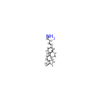 C=C1CCC2C3CCC4=C[C@@H](/C=C/CCN)CC[C@]4(C)C3CC[C@]12C